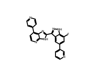 Fc1cc(-c2cccnc2)cc2c(-c3nc4c(-c5ccncc5)ccnc4[nH]3)n[nH]c12